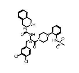 CS(=O)(=O)Nc1ccccc1N1CCN(C(=O)[C@@H](Cc2ccc(Cl)c(Cl)c2)NC(=O)[C@@H]2Cc3ccccc3CN2)CC1